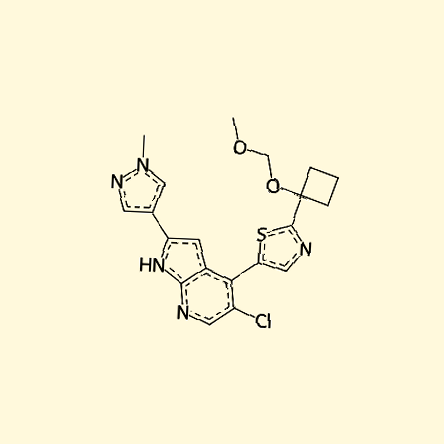 COCOC1(c2ncc(-c3c(Cl)cnc4[nH]c(-c5cnn(C)c5)cc34)s2)CCC1